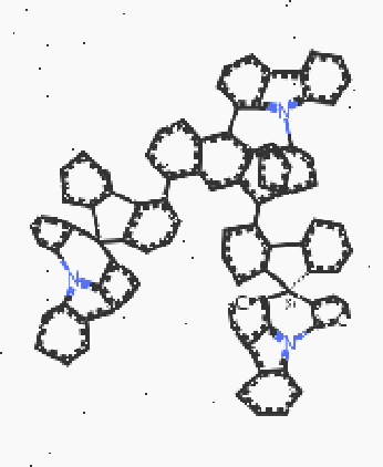 c1ccc(-n2c3ccccc3c3cccc(-c4c5cccc(-c6cccc7c6-c6ccccc6C76c7ccccc7-n7c8ccccc8c8cccc6c87)c5cc5c(-c6cccc7c6-c6ccccc6[C@@]76c7ccccc7-n7c8ccccc8c8cccc6c87)cccc45)c32)cc1